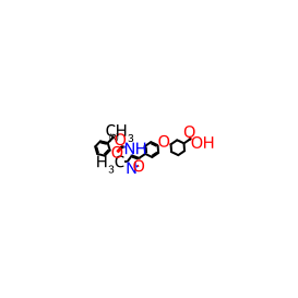 Cc1noc(-c2ccc(OC3CCCC(C(=O)O)C3)cc2)c1NC(=O)O[C@H](C)c1ccccc1